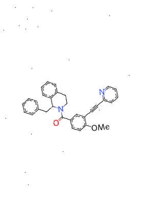 COc1ccc(C(=O)N2CCc3ccccc3C2Cc2ccccc2)cc1C#Cc1ccccn1